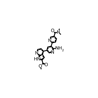 COC(=O)c1cc2c(-c3cnc(N)c(-c4ccc(C(=O)N(C)C)cn4)c3)ccnc2[nH]1